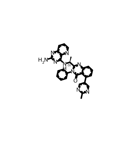 Cc1ncc(-c2cccc3nc([C@H](C)Nc4nc(N)nc5cccnc45)n(-c4ccccc4)c(=O)c23)cn1